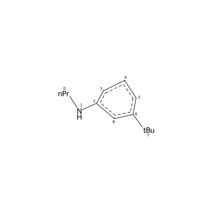 CCCNc1cccc(C(C)(C)C)c1